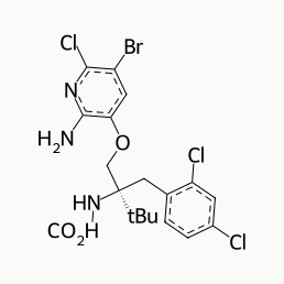 CC(C)(C)[C@](COc1cc(Br)c(Cl)nc1N)(Cc1ccc(Cl)cc1Cl)NC(=O)O